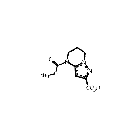 CC(C)(C)OC(=O)N1CCCn2nc(C(=O)O)cc21